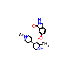 CC(=O)N1CCC([C@@H]2CCN[C@H](C)[C@H]2COc2ccc3c(c2)C(=O)NC3)CC1